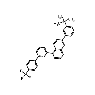 C[N+](C)(C)c1cccc(-c2ccc3c(-c4cccc(-c5ccc(C(F)(F)F)cc5)c4)cccc3c2)c1